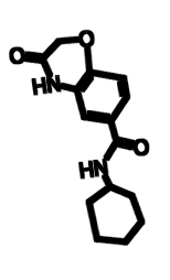 O=C1COc2ccc(C(=O)NC3CCCCC3)cc2N1